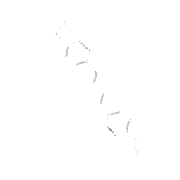 PNc1ccc(/C=C/C=C/c2ccc(N(P)P)cc2)cc1